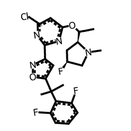 CC(Oc1cc(Cl)nc(-c2cc(C(C)(C)c3c(F)cccc3F)on2)n1)[C@@H]1C[C@H](F)CN1C